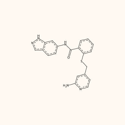 Nc1cc(CSc2ccccc2C(=O)Nc2ccc3cn[nH]c3c2)ccn1